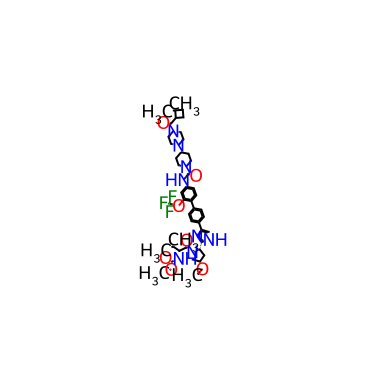 COC(=O)N[C@H](C(=O)N1C[C@@H](OC)C[C@H]1c1nc(-c2ccc(-c3ccc(NC(=O)N4CCC(N5CCN(C(=O)C6CCC6(C)C)CC5)CC4)cc3OC(F)(F)F)cc2)c[nH]1)C(C)C